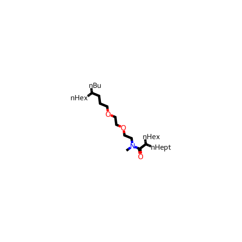 CCCCCCCC(CCCCCC)C(=O)N(C)CCOCCOCCCC(CCCC)CCCCCC